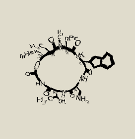 CCCCCC[C@H]1OC(=O)CNC(=O)[C@H](C(C)O)NC(=O)[C@H](CN)NC(=O)[C@H](C2Cc3ccccc3C2)NC(=O)[C@H](CCC)N(C)C(=O)[C@@H]1C